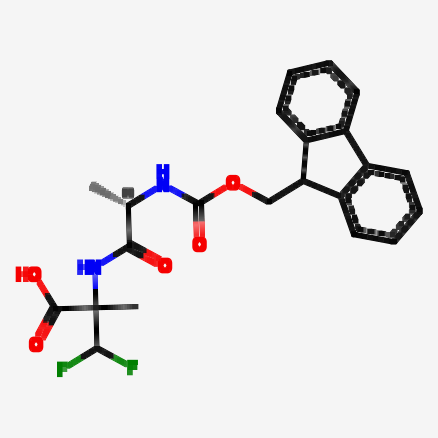 C[C@H](NC(=O)OCC1c2ccccc2-c2ccccc21)C(=O)NC(C)(C(=O)O)C(F)F